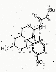 C[C@H]1CC2CSC(NC(=O)OC(C)(C)C)=NC2(c2cc([N+](=O)[O-])ccc2F)CO1